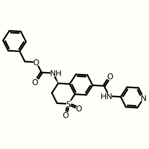 O=C(N[C@@H]1CCS(=O)(=O)c2cc(C(=O)Nc3ccncc3)ccc21)OCc1ccccc1